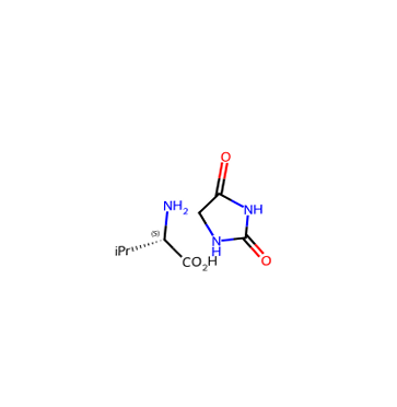 CC(C)[C@H](N)C(=O)O.O=C1CNC(=O)N1